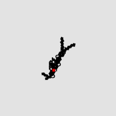 CCCCCCCCN(CCCCCCCC)c1ccc(-c2cc3sc(-c4ccc(-c5cc6sc(CC(CC)CCCC)cc6s5)c5nsnc45)c(NC)c3s2)cc1